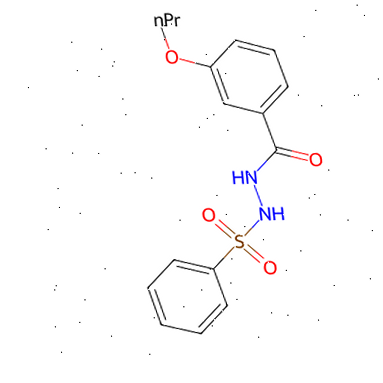 CCCOc1cccc(C(=O)NNS(=O)(=O)c2ccccc2)c1